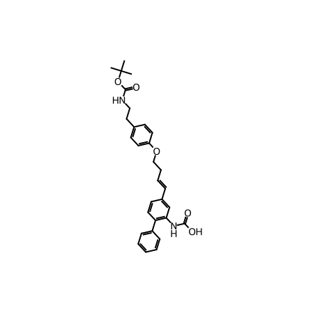 CC(C)(C)OC(=O)NCCc1ccc(OCC/C=C/c2ccc(-c3ccccc3)c(NC(=O)O)c2)cc1